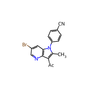 CC(=O)c1c(C)n(-c2ccc(C#N)cc2)c2cc(Br)cnc12